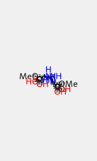 COc1cc(/C=N/NC(=N)N/N=C/c2cc(O)c(O)c(OC)c2)cc(O)c1O